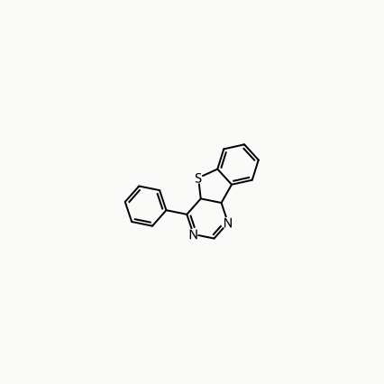 C1=NC2c3ccccc3SC2C(c2ccccc2)=N1